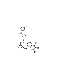 Cc1cnc(NC(=O)CCC2CC(=O)C3(C)CCC4c5cc(Br)c(O)c(F)c5CCC4C23)s1